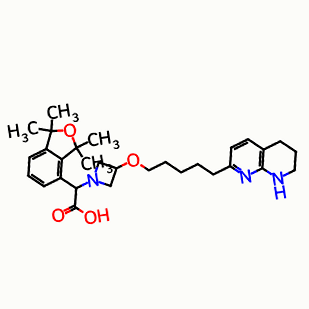 CC1(C)OC(C)(C)c2c(C(C(=O)O)N3CC(OCCCCCc4ccc5c(n4)NCCC5)C3)cccc21